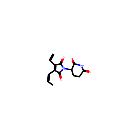 C=CC1=C(/C=C\C)C(=O)N(C2CCC(=O)NC2=O)C1=O